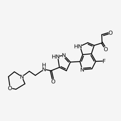 O=CC(=O)c1c[nH]c2c(-c3cc(C(=O)NCCN4CCOCC4)[nH]n3)ncc(F)c12